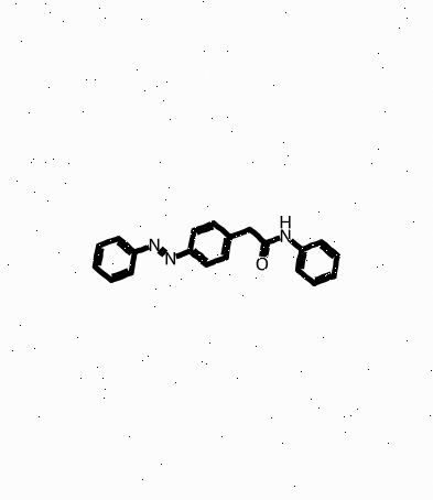 O=C(Cc1ccc(/N=N/c2ccccc2)cc1)Nc1ccccc1